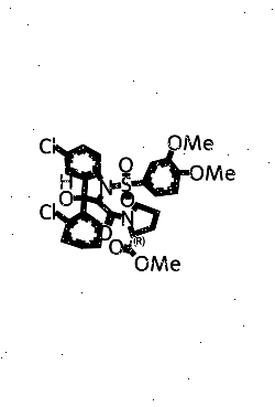 COC(=O)[C@H]1CCCN1C(=O)C1N(S(=O)(=O)c2ccc(OC)c(OC)c2)c2ccc(Cl)cc2C1(O)c1ccccc1Cl